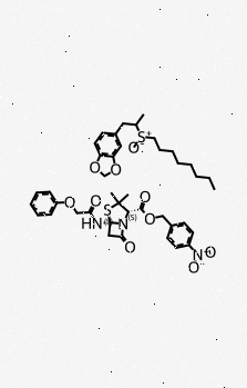 CC1(C)S[C@]2(NC(=O)COc3ccccc3)CC(=O)N2[C@H]1C(=O)OCc1ccc([N+](=O)[O-])cc1.CCCCCCCC[S+]([O-])C(C)Cc1ccc2c(c1)OCO2